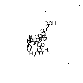 CC(=O)OC(C)C(=O)OC(COc1nsnc1N1CCOCC1)CN(C(=O)COC(=O)CCCC(=O)O)C(C)(C)C